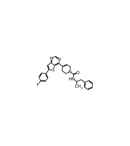 CC(Cc1ccccc1)NC(=O)N1CC=C(c2ncnc3cc(-c4ccc(F)cc4)sc23)CC1